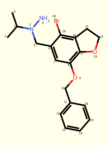 CC(C)N(N)Cc1cc(OCc2ccccc2)c2c(c1Br)CCO2